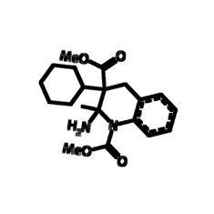 COC(=O)N1c2ccccc2CC(C(=O)OC)(C2CCCCC2)C1(C)N